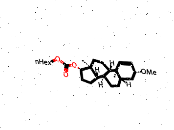 CCCCCCOC(=O)O[C@H]1CC[C@H]2[C@@H]3CC[C@H]4C[C@@H](OC)C=C[C@]4(C)[C@H]3CC[C@]12C